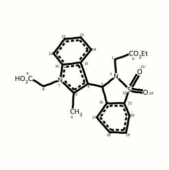 CCOC(=O)CN1C(c2c(C)n(CC(=O)O)c3ccccc23)c2ccccc2S1(=O)=O